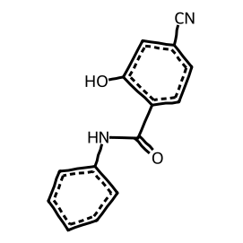 N#Cc1ccc(C(=O)Nc2ccccc2)c(O)c1